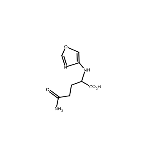 NC(=O)CCC(Nc1cocn1)C(=O)O